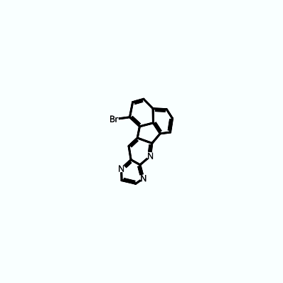 Brc1ccc2cccc3c2c1-c1cc2nccnc2nc1-3